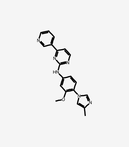 COc1cc(Nc2nccc(-c3cccnc3)n2)ccc1-n1cnc(C)c1